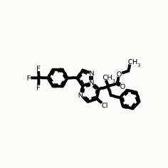 CCOC(=O)C(C)(Cc1ccccc1)c1c(Cl)cnc2c(-c3ccc(C(F)(F)F)cc3)cnn12